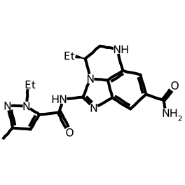 CC[C@H]1CNc2cc(C(N)=O)cc3nc(NC(=O)c4cc(C)nn4CC)n1c23